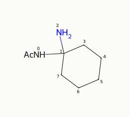 CC(=O)NC1(N)CCCCC1